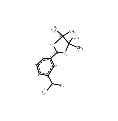 CC(F)c1cccc(B2OC(C)(C)C(C)(C)O2)c1